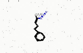 [N-]=[N+]=N/C(=C\CCc1ccccc1)C(=O)O